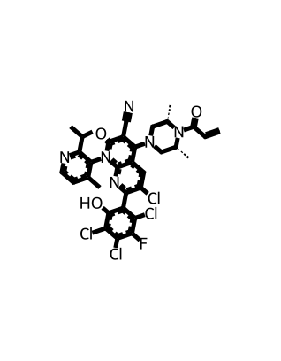 C=CC(=O)N1[C@H](C)CN(c2c(C#N)c(=O)n(-c3c(C)ccnc3C(C)C)c3nc(-c4c(O)c(Cl)c(Cl)c(F)c4Cl)c(Cl)cc23)C[C@@H]1C